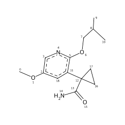 COc1cnc(OCC(C)C)c(C2(C(N)=O)CC2)c1